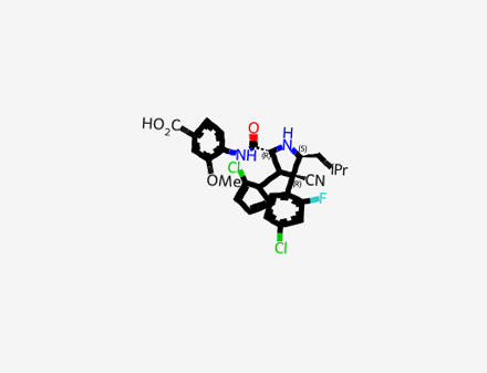 COc1cc(C(=O)O)ccc1NC(=O)[C@@H]1N[C@@H](CC(C)C)[C@](C#N)(c2ccc(Cl)cc2F)C1C1C=CC=C1Cl